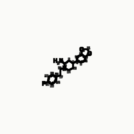 NC1CC(c2ccc3c(c2)OCO3)CCN1CCc1ccc(F)cc1